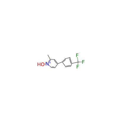 Cc1cc(-c2ccc(C(F)(F)F)cc2)cc[n+]1O